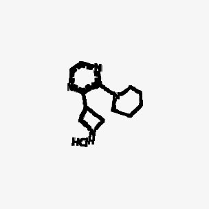 Cl.c1cnc(N2CCCCC2)c(C2CNC2)n1